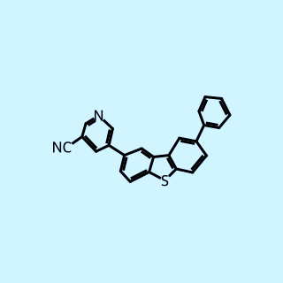 N#Cc1cncc(-c2ccc3sc4ccc(-c5ccccc5)cc4c3c2)c1